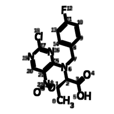 CC[C@H](C(=O)O)N(Cc1ccc(F)cc1)c1nc(Cl)ncc1[N+](=O)[O-]